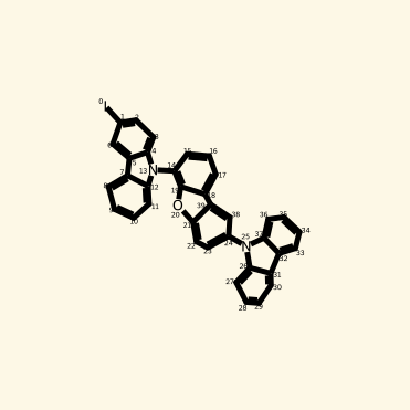 Ic1ccc2c(c1)c1ccccc1n2-c1cccc2c1oc1ccc(-n3c4ccccc4c4ccccc43)cc12